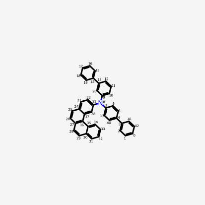 c1ccc(-c2ccc(N(c3cccc(-c4ccccc4)c3)c3ccc4ccc5ccc6ccccc6c5c4c3)cc2)cc1